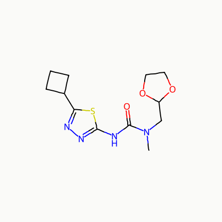 CN(CC1OCCO1)C(=O)Nc1nnc(C2CCC2)s1